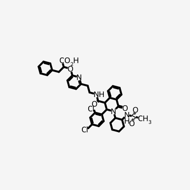 CS(=O)(=O)NC1CCCCC1N1C(=O)c2ccccc2C(C(=O)NCCc2cccc(OC(Cc3ccccc3)C(=O)O)n2)C1c1ccc(Cl)cc1Cl